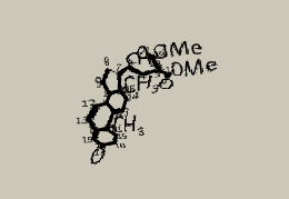 COC(=O)C(C[C@@H](C)[C@H]1CCC2C3C=CC4=CC(=O)CC[C@]4(C)C3CC[C@@]21C)C(=O)OC